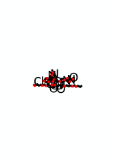 CC(=O)N1CCN(c2ccc(OC[C@H]3CO[C@](Cn4ccnc4)(c4ccc(Cl)cc4Cl)O3)cc2)CC1.CCCCCCCCCCCC(=O)OCOC(=O)CCCCCCCCCCC